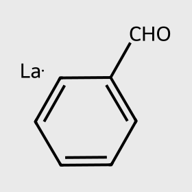 O=Cc1ccccc1.[La]